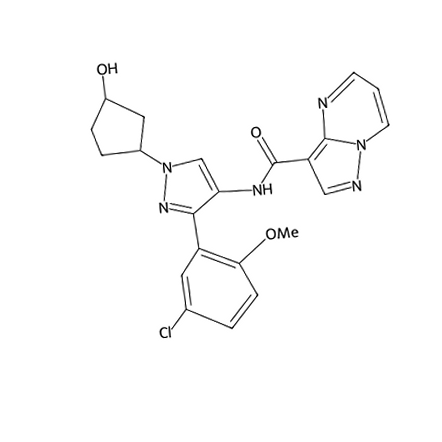 COc1ccc(Cl)cc1-c1nn(C2CCC(O)C2)cc1NC(=O)c1cnn2cccnc12